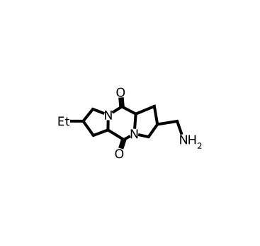 CCC1CC2C(=O)N3CC(CN)CC3C(=O)N2C1